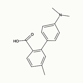 Cc1ccc(C(=O)O)c(-c2ccc(N(C)C)cc2)c1